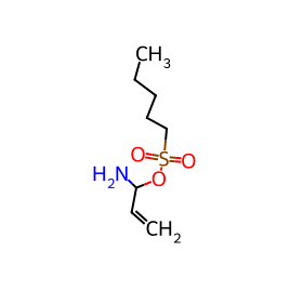 C=CC(N)OS(=O)(=O)CCCCC